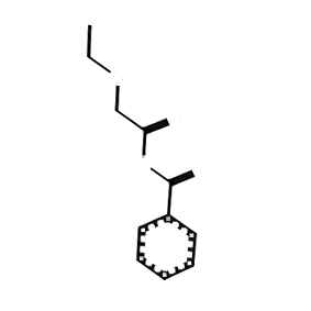 CCOCC(=O)OC(=O)c1ccccc1